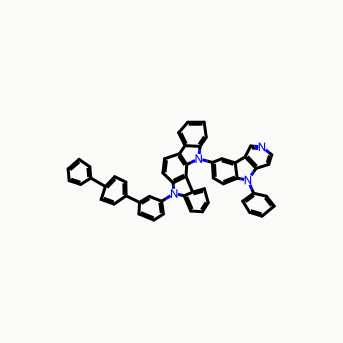 c1ccc(-c2ccc(-c3cccc(-n4c5ccccc5c5c4ccc4c6ccccc6n(-c6ccc7c(c6)c6cnccc6n7-c6ccccc6)c45)c3)cc2)cc1